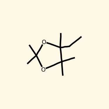 CCC1(C)OC(C)(C)OC1(C)C